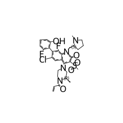 C=CC(=O)N1CCN(c2c(S(C)(=O)=O)c(=O)n(C[C@@H]3CCCN3C)c3c(F)c(-c4c(O)cccc4F)c(Cl)cc23)C[C@H]1C